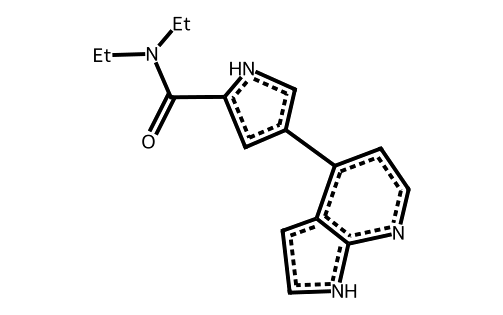 CCN(CC)C(=O)c1cc(-c2ccnc3[nH]ccc23)c[nH]1